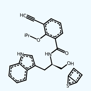 C#Cc1cccc(C(=O)N[C@@H](CO)Cc2c[nH]c3ccccc23)c1OC(C)C.c1cc2sc1-2